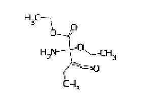 CCOC(=O)C(N)(OCC)C(=C=O)CC